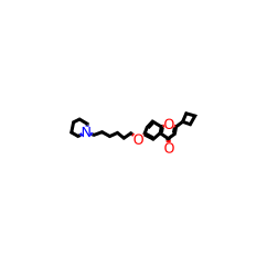 O=c1cc(C2CCC2)oc2ccc(OCCCCCCN3CCCCC3)cc12